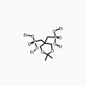 CCOP(=O)(CC1(CP(=O)(OCC)OCC)COC(C)(C)OC1)OCC